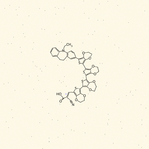 CCN1c2ccccc2CCc2cc(-c3sc(-c4sc(-c5sc(-c6sc(/C=C(\C#N)C(=O)O)c7c6OCCO7)c6c5OCCO6)c5c4OCCO5)c4c3OCCO4)ccc21